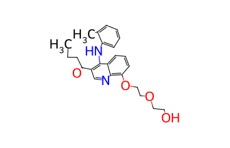 CCCC(=O)c1cnc2c(OCCOCCO)cccc2c1Nc1ccccc1C